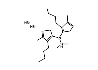 Br.Br.CCCCC1=[C]([Zr]([C]2=C(CCCC)C(C)=CC2)[SiH](C)C)CC=C1C